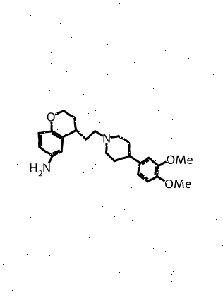 COc1ccc(C2CCN(CCC3CCOc4ccc(N)cc43)CC2)cc1OC